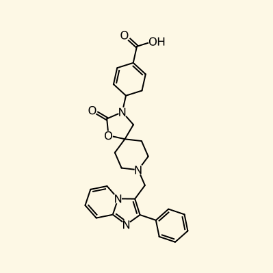 O=C(O)C1=CCC(N2CC3(CCN(Cc4c(-c5ccccc5)nc5ccccn45)CC3)OC2=O)C=C1